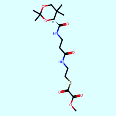 COC(=O)C(=O)SCCNC(=O)CCNC(=O)[C@@H]1OC(C)(C)OCC1(C)C